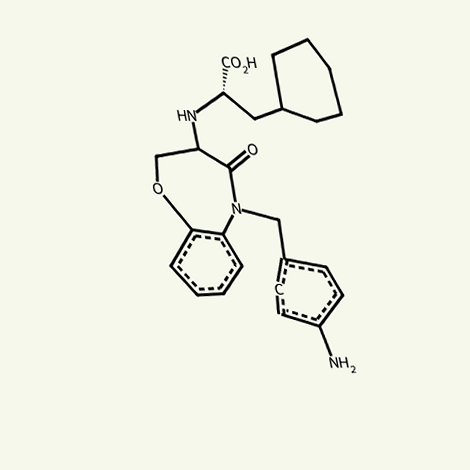 Nc1ccc(CN2C(=O)C(N[C@@H](CC3CCCCC3)C(=O)O)COc3ccccc32)cc1